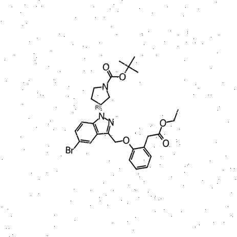 CCOC(=O)Cc1ccccc1OCc1nn([C@@H]2CCN(C(=O)OC(C)(C)C)C2)c2ccc(Br)cc12